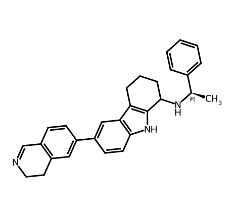 C[C@@H](NC1CCCc2c1[nH]c1ccc(-c3ccc4c(c3)CCN=C4)cc21)c1ccccc1